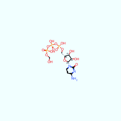 Nc1ccn([C@@H]2O[C@H](COP(=O)(O)OP(=O)(O)OP(=O)(O)OCO)[C@@H](O)[C@H]2O)c(=O)n1